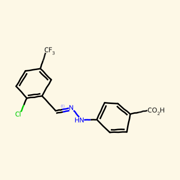 O=C(O)c1ccc(N/N=C/c2cc(C(F)(F)F)ccc2Cl)cc1